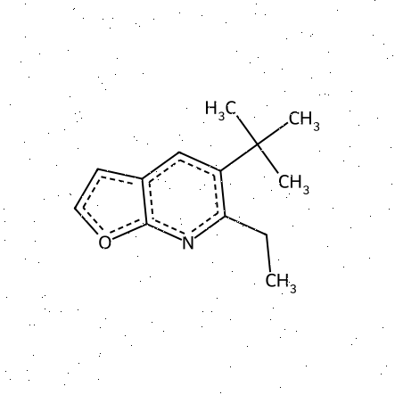 CCc1nc2occc2cc1C(C)(C)C